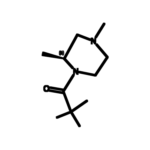 C[C@H]1CN(C)CCN1C(=O)C(C)(C)C